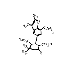 CCOC(=O)C1C(=O)CC(C)(O)C(C(=O)OCC)C1c1cc(C)c2oc(C)c(C)c2c1